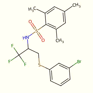 Cc1cc(C)c(S(=O)(=O)NC(CSc2cccc(Br)c2)C(F)(F)F)c(C)c1